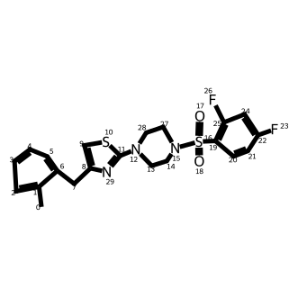 Cc1ccccc1Cc1csc(N2CCN(S(=O)(=O)c3ccc(F)cc3F)CC2)n1